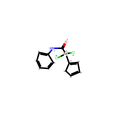 O=[C](Nc1ccccc1)[Hf]([Cl])([Cl])[C]1=CC=CC1